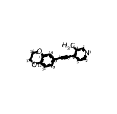 Cc1cnccc1C#Cc1ccc2c(c1)OCCO2